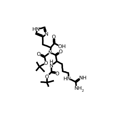 CC(C)(C)OC(=O)NC(CCCNC(=N)N)C(=O)N(C(=O)OC(C)(C)C)C(Cc1c[nH]cn1)C(=O)O